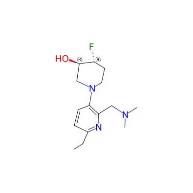 CCc1ccc(N2CC[C@@H](F)[C@H](O)C2)c(CN(C)C)n1